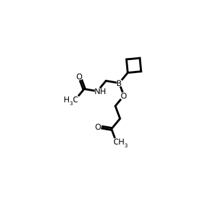 CC(=O)CCOB(CNC(C)=O)C1CCC1